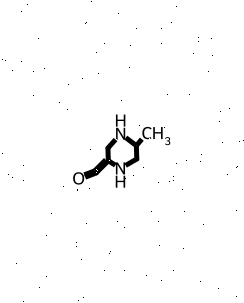 CC1CNC(=C=O)CN1